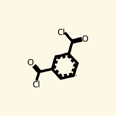 O=C(Cl)c1c[c]cc(C(=O)Cl)c1